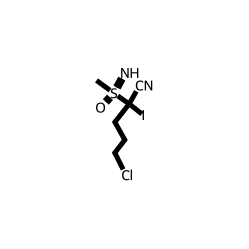 CS(=N)(=O)C(I)(C#N)CCCCl